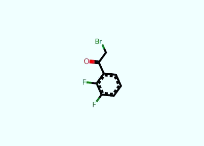 O=C(CBr)c1cccc(F)c1F